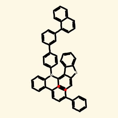 c1ccc(-c2ccc(-c3ccccc3N(c3ccc(-c4cccc(-c5cccc6ccccc56)c4)cc3)c3cccc4sc5ccccc5c34)cc2)cc1